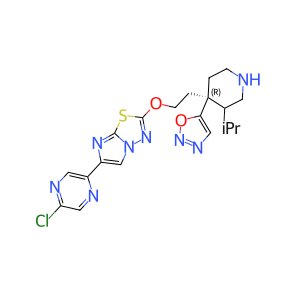 CC(C)C1CNCC[C@]1(CCOc1nn2cc(-c3cnc(Cl)cn3)nc2s1)c1cnno1